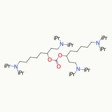 CC(C)N(CCCCCC(CCN(C(C)C)C(C)C)OC(=O)OC(CCCCCN(C(C)C)C(C)C)CCN(C(C)C)C(C)C)C(C)C